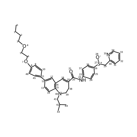 CCCCOCCOc1ccc(-c2ccc3c(c2)C=C(C(=O)Nc2ccc([S+]([O-])Cc4ccccn4)cc2)CCN3CC(C)C)cc1